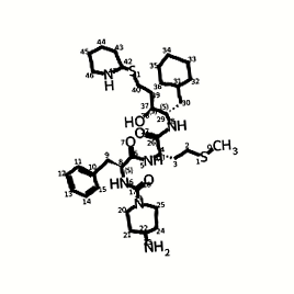 CSCC[C@H](NC(=O)[C@H](Cc1ccccc1)NC(=O)N1CCC(N)CC1)C(=O)N[C@@H](CC1CCCCC1)[C@@H](O)CCSC1CCCCN1